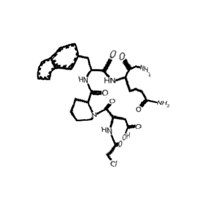 NC(=O)CCC(NC(=O)C(Cc1ccc2ccccc2c1)NC(=O)C1CCCCN1C(=O)C(CC(=O)O)NC(=O)CCl)C(N)=O